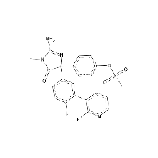 CN1C(=O)C(c2ccc(OS(C)(=O)=O)cc2)(c2ccc(F)c(-c3cccnc3F)c2)N=C1N